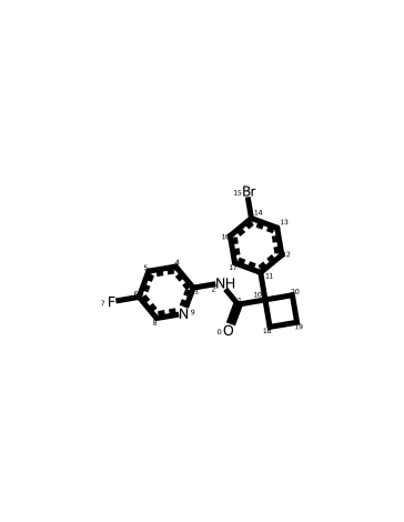 O=C(Nc1ccc(F)cn1)C1(c2ccc(Br)cc2)CCC1